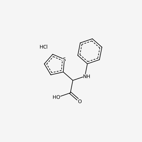 Cl.O=C(O)C(Nc1ccccc1)c1cccs1